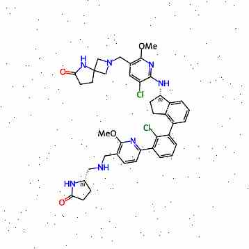 COc1nc(-c2cccc(-c3cccc4c3CC[C@@H]4Nc3nc(OC)c(CN4CC5(CCC(=O)N5)C4)cc3Cl)c2Cl)ccc1CNC[C@@H]1CCC(=O)N1